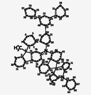 CC1(c2ccccc2)c2ccccc2-c2ccc(N(c3ccc(-c4cc(-c5ccccc5)cc(-c5ccccc5)c4)cc3)c3cccc4c3-c3ccccc3C43c4ccccc4N(c4ccccc4)c4ccccc43)cc21